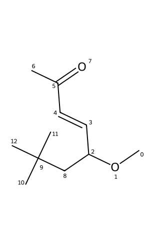 COC(C=CC(C)=O)CC(C)(C)C